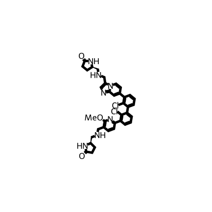 COc1nc(-c2cccc(-c3cccc(-c4ccn5c(CNC[C@H]6CCC(=O)N6)cnc5c4)c3Cl)c2Cl)ccc1CNC[C@H]1CCC(=O)N1